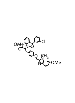 COC(=O)C(Cc1ccc(OCc2nc3ccc(OC)cc3n2C)cc1)Nc1ccccc1C(=O)c1ccccc1.Cl